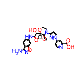 CC1([C@@H](O)C(=O)Nc2ccc3c(N)noc3c2)OCCN(c2ccn(-c3ccnc(C(=O)O)c3)n2)C1=O